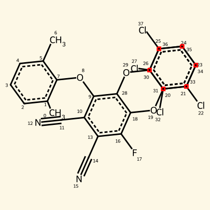 Cc1cccc(C)c1Oc1c(C#N)c(C#N)c(F)c(Oc2c(Cl)cccc2Cl)c1Oc1c(Cl)cccc1Cl